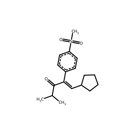 CC(C)C(=O)/C(=C/C1CCCC1)c1ccc(S(C)(=O)=O)cc1